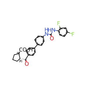 O=C(Nc1ccc(-c2ccc(C(=O)[C@@H]3CCC[C@H]3C(=O)O)cc2)cc1)Nc1ccc(F)cc1F